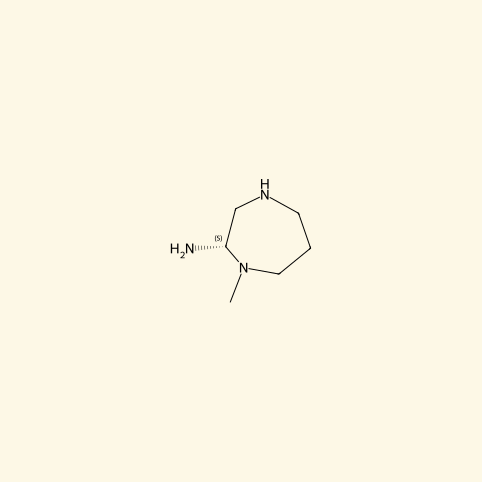 CN1CCCNC[C@H]1N